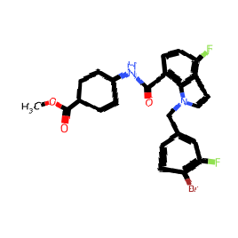 COC(=O)C1CCC(NC(=O)c2ccc(F)c3ccn(Cc4ccc(Br)c(F)c4)c23)CC1